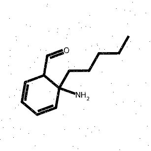 CCCCCC1(N)C=CC=CC1C=O